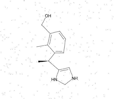 Cc1c(CO)cccc1[C@H](C)C1=CNCN1